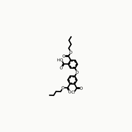 CCCCOC(=O)c1ccc(Oc2ccc(C(=O)OCCCC)c(C(=O)Cl)c2)cc1C(=O)O